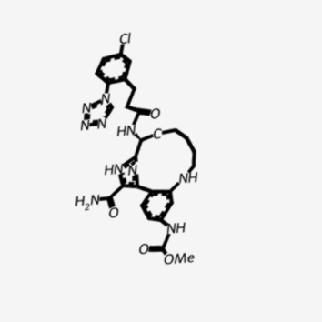 COC(=O)Nc1ccc2c(c1)NCCCCC[C@H](NC(=O)CCc1cc(Cl)ccc1-n1cnnn1)c1nc-2c(C(N)=O)[nH]1